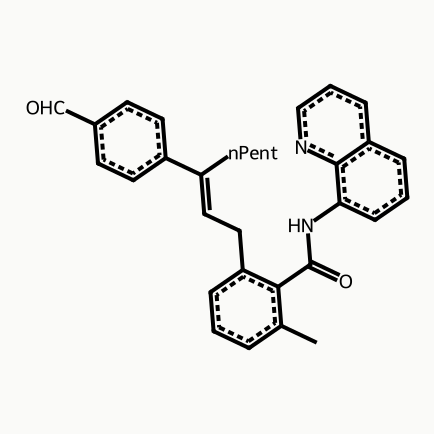 CCCCCC(=CCc1cccc(C)c1C(=O)Nc1cccc2cccnc12)c1ccc(C=O)cc1